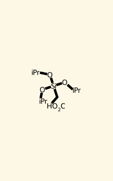 CC(C)O[Si](CC(=O)O)(OC(C)C)OC(C)C